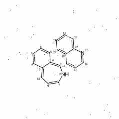 C1=CNC=c2ccccc2=C1.c1ccc2ncccc2c1